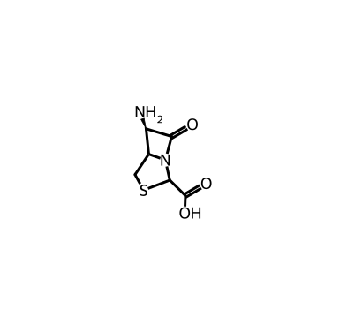 N[C@H]1C(=O)N2C(C(=O)O)SCC12